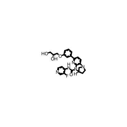 O=C(Nc1ccncc1F)N1c2nc(-c3cccc(OC[C@@H](O)CO)c3)ccc2N2CC[C@H]1C2